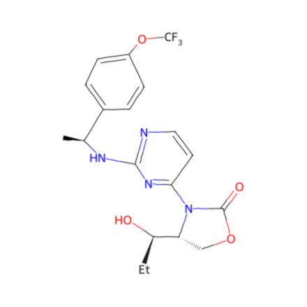 CC[C@@H](O)[C@H]1COC(=O)N1c1ccnc(N[C@@H](C)c2ccc(OC(F)(F)F)cc2)n1